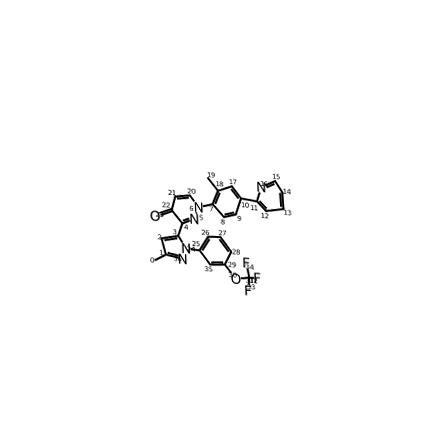 Cc1cc(-c2nn(-c3ccc(-c4ccccn4)cc3C)ccc2=O)n(-c2cccc(OC(F)(F)F)c2)n1